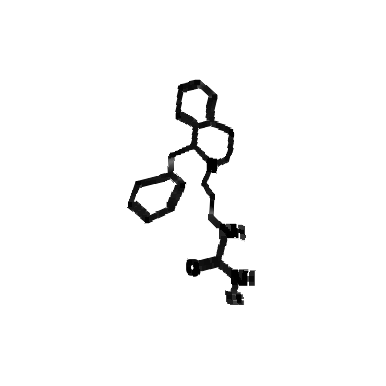 CCNC(=O)NCCCN1CCc2ccccc2C1Cc1ccccc1